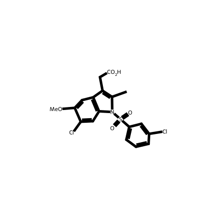 COc1cc2c(CC(=O)O)c(C)n(S(=O)(=O)c3cccc(Cl)c3)c2cc1Cl